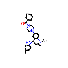 CC(=O)N1c2ccc(N3CCN(C(=O)c4ccccc4)CC3)cc2C(Nc2ccc(C)cc2)CC1C